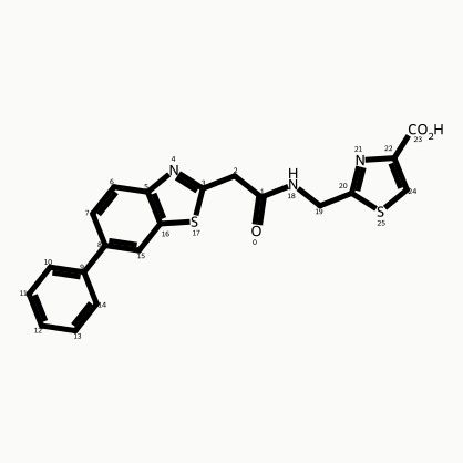 O=C(Cc1nc2ccc(-c3ccccc3)cc2s1)NCc1nc(C(=O)O)cs1